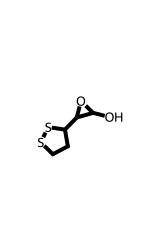 OC1OC1C1CCSS1